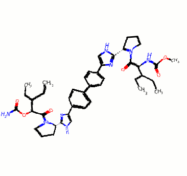 CCC(CC)[C@H](NC(=O)OC)C(=O)N1CCC[C@H]1c1nc(-c2ccc(-c3ccc(-c4c[nH]c([C@@H]5CCCN5C(=O)[C@@H](OC(N)=O)C(CC)CC)n4)cc3)cc2)c[nH]1